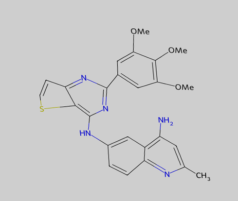 COc1cc(-c2nc(Nc3ccc4nc(C)cc(N)c4c3)c3sccc3n2)cc(OC)c1OC